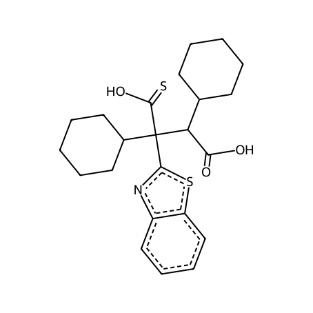 O=C(O)C(C1CCCCC1)C(C(O)=S)(c1nc2ccccc2s1)C1CCCCC1